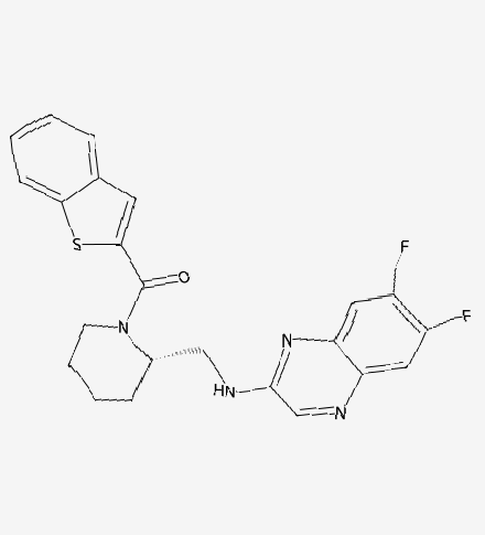 O=C(c1cc2ccccc2s1)N1CCCC[C@H]1CNc1cnc2cc(F)c(F)cc2n1